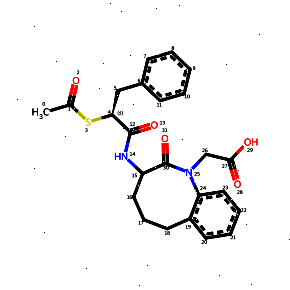 CC(=O)S[C@@H](Cc1ccccc1)C(=O)NC1CCCc2ccccc2N(CC(=O)O)C1=O